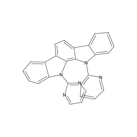 c1ccc(-n2c3ccccc3c3ccc4c5ccccc5n(-c5ncccn5)c4c32)nc1